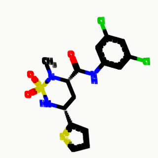 CN1[C@H](C(=O)Nc2cc(Cl)cc(Cl)c2)C[C@H](c2cccs2)NS1(=O)=O